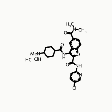 CNC1CCC(C(=O)Nc2c(C(=O)Nc3ccc(Cl)cn3)oc3ccc(C(=O)N(C)C)cc23)CC1.Cl.Cl